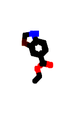 CCOC(=O)c1ccc2c(c1)SCN2